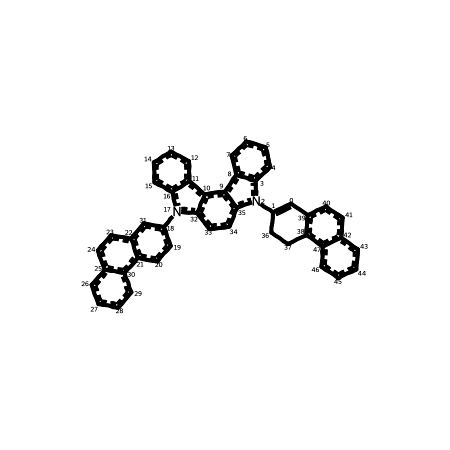 C1=C(n2c3ccccc3c3c4c5ccccc5n(-c5ccc6c(ccc7ccccc76)c5)c4ccc32)CCc2c1ccc1ccccc21